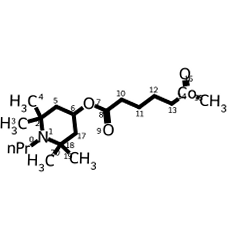 CCCN1C(C)(C)CC(OC(=O)CCC[CH2][Co]([CH3])=[O])CC1(C)C